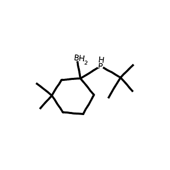 BC1(PC(C)(C)C)CCCC(C)(C)C1